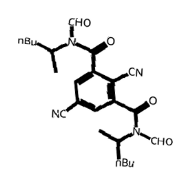 CCCCC(C)N(C=O)C(=O)c1cc(C#N)cc(C(=O)N(C=O)C(C)CCCC)c1C#N